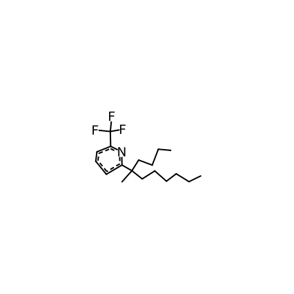 CCCCCCC(C)(CCCC)c1cccc(C(F)(F)F)n1